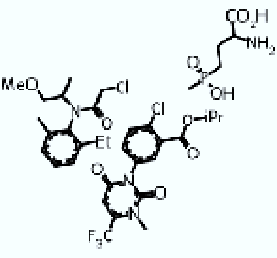 CC(C)OC(=O)c1cc(-n2c(=O)cc(C(F)(F)F)n(C)c2=O)ccc1Cl.CCc1cccc(C)c1N(C(=O)CCl)C(C)COC.CP(=O)(O)CCC(N)C(=O)O